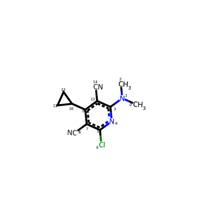 CN(C)c1nc(Cl)c(C#N)c(C2CC2)c1C#N